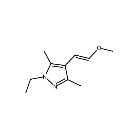 CCn1nc(C)c(C=COC)c1C